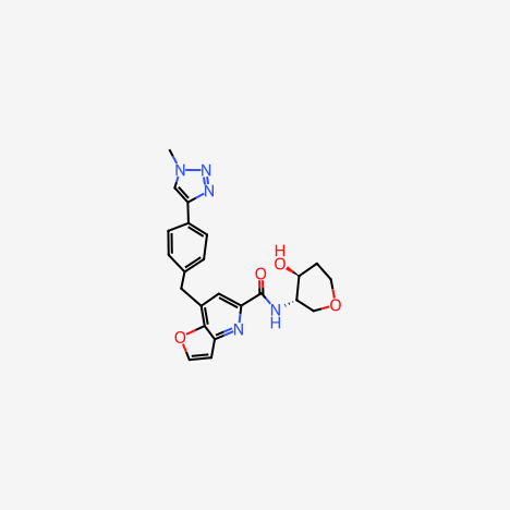 Cn1cc(-c2ccc(Cc3cc(C(=O)N[C@H]4COCC[C@@H]4O)nc4ccoc34)cc2)nn1